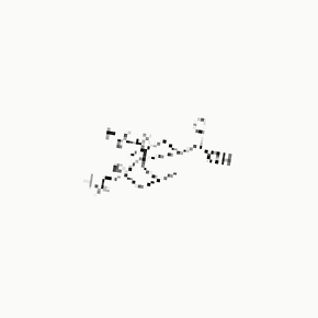 C[C@]12CC3CC(C(=O)O)(C1)C[C@@](C)(C3)C2